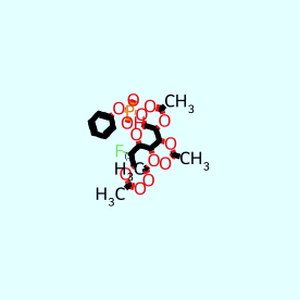 CC(=O)OC[C@H](F)C1OC(OP(=O)(O)Oc2ccccc2)C(OC(C)=O)C(OC(C)=O)C1OC(C)=O